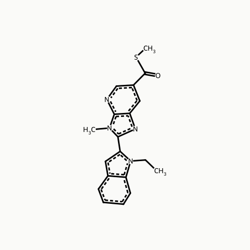 CCn1c(-c2nc3cc(C(=O)SC)cnc3n2C)cc2ccccc21